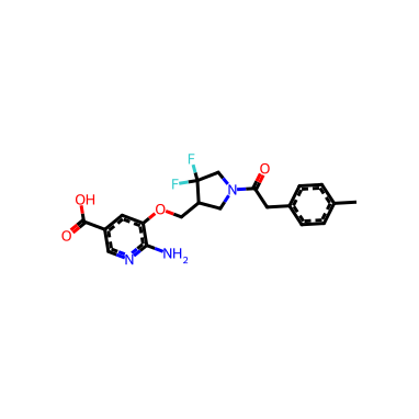 Cc1ccc(CC(=O)N2CC(COc3cc(C(=O)O)cnc3N)C(F)(F)C2)cc1